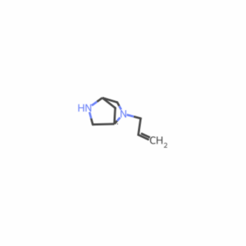 C=CCN1CC2C[C]1CN2